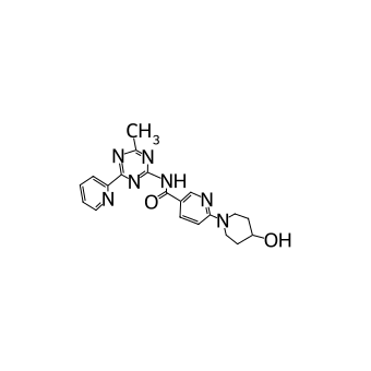 Cc1nc(NC(=O)c2ccc(N3CCC(O)CC3)nc2)nc(-c2ccccn2)n1